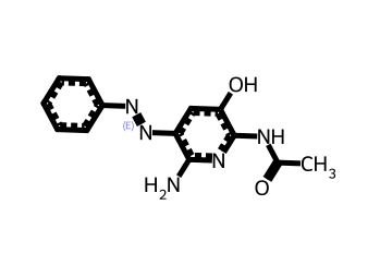 CC(=O)Nc1nc(N)c(/N=N/c2ccccc2)cc1O